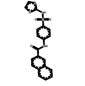 O=C(Nc1ccc(S(=O)(=O)Nc2nccs2)cc1)c1ccc2ccccc2c1